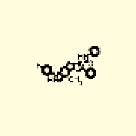 C[C@H]1C2=CNN(c3ccc(F)cc3)C2=CC2=C1[C@@H](CC(NC(=O)Nc1ccccc1)c1ccccc1)CC2